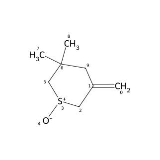 C=C1C[S+]([O-])CC(C)(C)C1